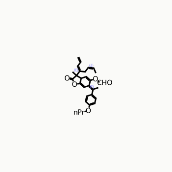 C=C/C=C(\C/C=C\C)C1(C)C(=O)OC2=C/C(=C(/C)c3ccc(OCCC)cc3)C(OC=O)=CC21